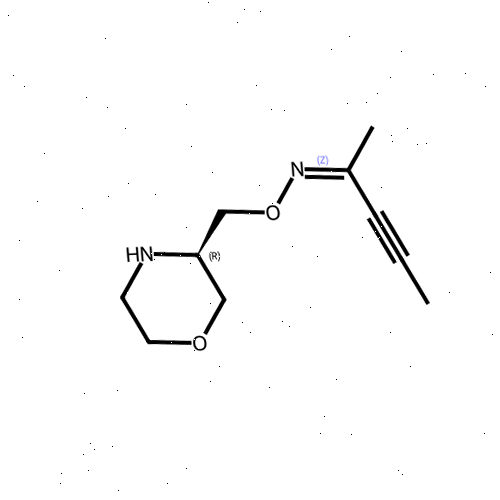 CC#C/C(C)=N\OC[C@H]1COCCN1